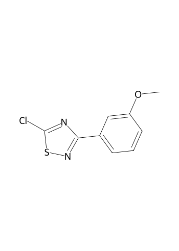 COc1cccc(-c2nsc(Cl)n2)c1